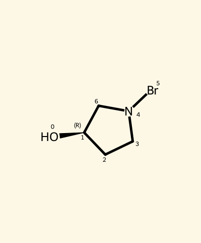 O[C@@H]1CCN(Br)C1